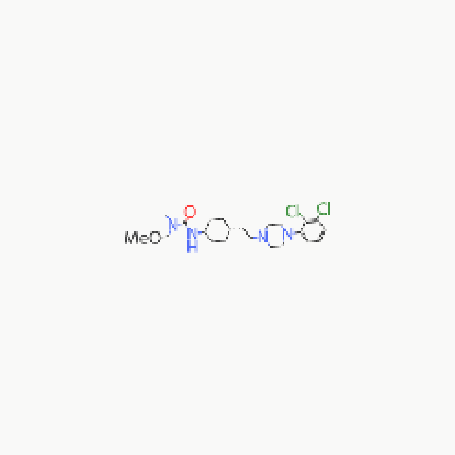 COCN(C)C(=O)N[C@H]1CC[C@H](CCN2CCN(c3cccc(Cl)c3Cl)CC2)CC1